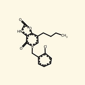 CCCCc1cn(Cc2ccccc2Cl)c(=O)c2[nH]c(=O)oc12